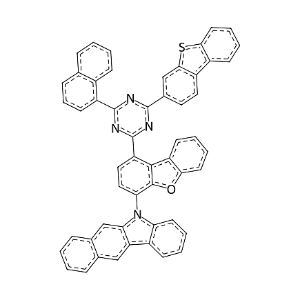 c1ccc2cc3c(cc2c1)c1ccccc1n3-c1ccc(-c2nc(-c3ccc4c(c3)sc3ccccc34)nc(-c3cccc4ccccc34)n2)c2c1oc1ccccc12